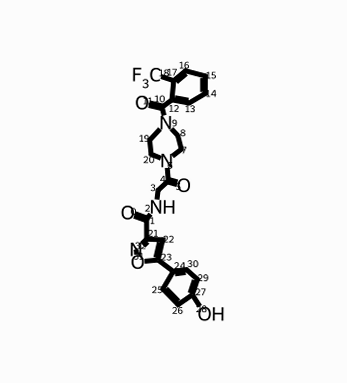 O=C(NCC(=O)N1CCN(C(=O)c2ccccc2C(F)(F)F)CC1)c1cc(-c2ccc(O)cc2)on1